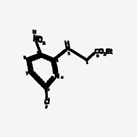 CCOC(=O)CNc1nc(Cl)ccc1[N+](=O)[O-]